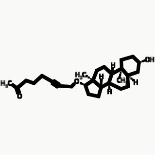 CC(=O)CCCC#CCO[C@H]1CC[C@H]2[C@@H]3CC[C@@H]4C[C@@H](O)CC[C@]4(C)[C@H]3CC[C@]12C